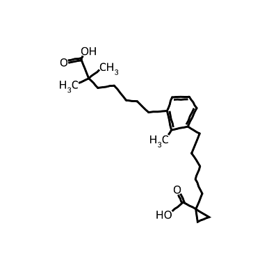 Cc1c(CCCCCC(C)(C)C(=O)O)cccc1CCCCCC1(C(=O)O)CC1